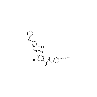 CCCCCc1ccc(CNC(=O)c2ccc(CN(Cc3cccc(Oc4ccccc4)c3)C(=O)C(=O)O)c(Br)c2)cc1